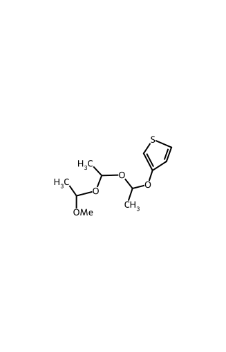 COC(C)OC(C)OC(C)Oc1ccsc1